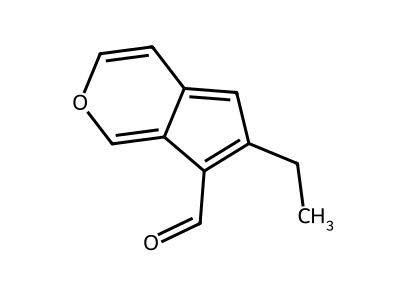 CCc1cc2ccocc-2c1C=O